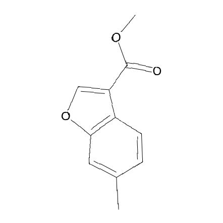 COC(=O)c1coc2cc(C)ccc12